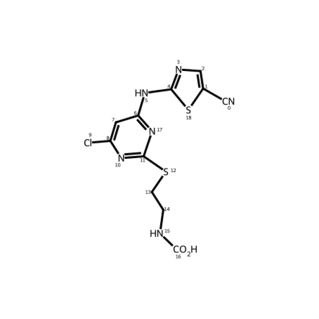 N#Cc1cnc(Nc2cc(Cl)nc(SCCNC(=O)O)n2)s1